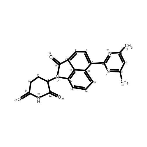 Cc1cc(C)nc(-c2ccc3c4c(cccc24)N(C2CCC(=O)NC2=O)C3=O)n1